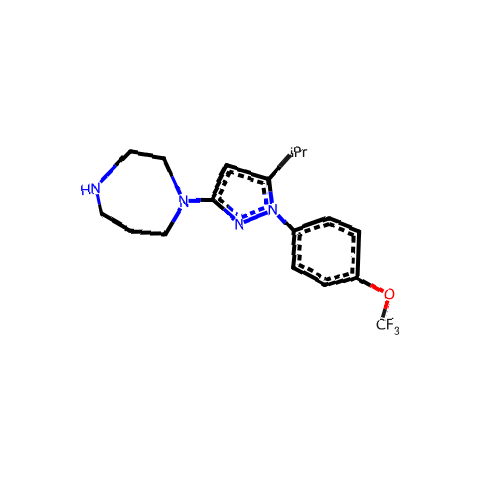 CC(C)c1cc(N2CCCNCC2)nn1-c1ccc(OC(F)(F)F)cc1